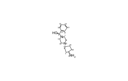 N[C@H]1CC[C@H](N2CCN(C(O)c3ccccc3)CC2)CC1